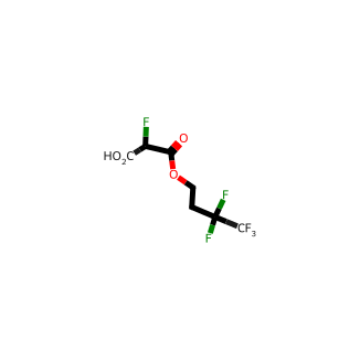 O=C(O)C(F)C(=O)OCCC(F)(F)C(F)(F)F